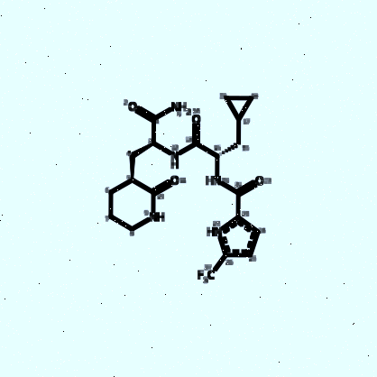 NC(=O)[C@H](C[C@@H]1CCCNC1=O)NC(=O)[C@H](CC1CC1)NC(=O)c1ccc(C(F)(F)F)[nH]1